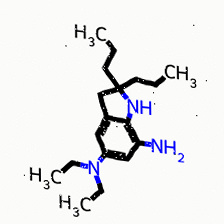 CCCC1(CCC)Cc2cc(N(CC)CC)cc(N)c2N1